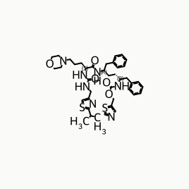 CC(C)c1nc(CNC(=O)N[C@@H](CCCN2CCOCC2)C(=O)N[C@H](CC[C@H](Cc2ccccc2)NC(=O)OCc2cncs2)Cc2ccccc2)cs1